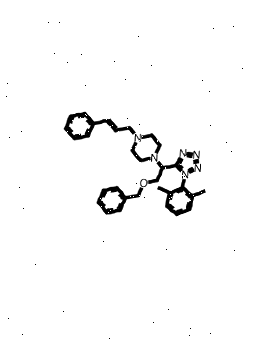 Cc1cccc(C)c1-n1nnnc1C(COCc1ccccc1)N1CCN(C/C=C/c2ccccc2)CC1